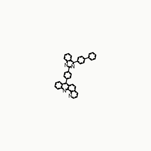 c1ccc(-c2ccc(-c3nc(-c4ccc(-c5c6ccccc6nc6c5ccc5cccnc56)cc4)nc4ccccc34)cc2)cc1